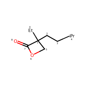 CCC1(CCC(C)C)COC1=O